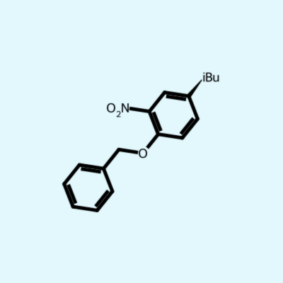 CC[C@H](C)c1ccc(OCc2ccccc2)c([N+](=O)[O-])c1